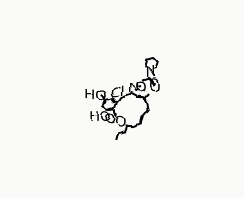 CCCC1C/C=C/CC/C(C)=C/C(=N\OCC(=O)N2CCCCC2)Cc2c(Cl)c(O)cc(O)c2C(=O)O1